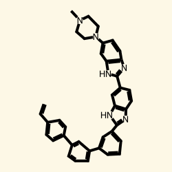 C=Cc1ccc(-c2cccc(-c3cccc(-c4nc5ccc(-c6nc7ccc(N8CCN(C)CC8)cc7[nH]6)cc5[nH]4)c3)c2)cc1